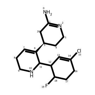 NC1=NCC[C@@H](C2=CCCNC2C2C=C(Cl)CCC2F)C1